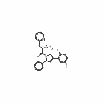 N[C@@H](Cc1ccccn1)C(=O)N1CC(c2cc(F)ccc2F)=CC1c1ccccc1